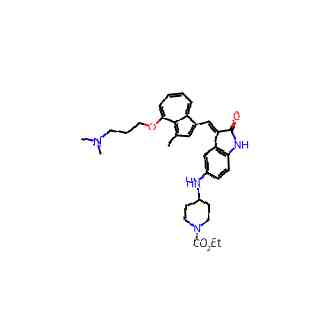 CCOC(=O)N1CCC(Nc2ccc3c(c2)/C(=C\c2cc(C)c4c(OCCCN(C)C)ccccc2-4)C(=O)N3)CC1